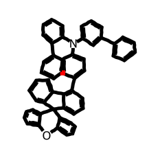 c1ccc(-c2cccc(N(c3ccc(-c4cccc5c4-c4ccccc4C54c5ccccc5Oc5ccccc54)cc3)c3ccccc3-c3ccccc3)c2)cc1